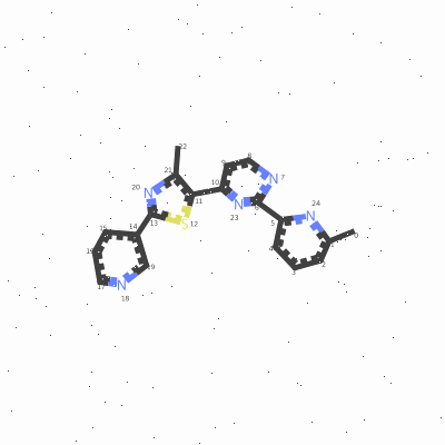 Cc1cccc(-c2nccc(-c3sc(-c4cccnc4)nc3C)n2)n1